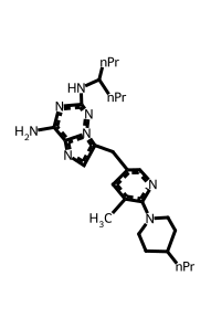 CCCC1CCN(c2ncc(Cc3cnc4c(N)nc(NC(CCC)CCC)nn34)cc2C)CC1